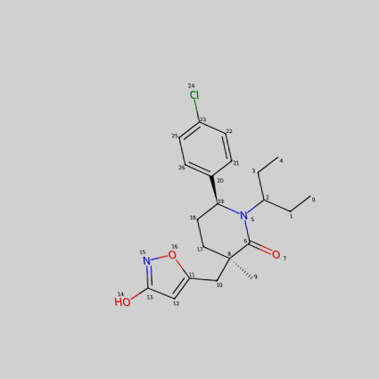 CCC(CC)N1C(=O)[C@@](C)(Cc2cc(O)no2)CC[C@H]1c1ccc(Cl)cc1